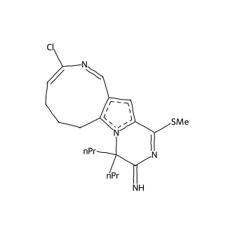 CCCC1(CCC)C(=N)N=C(SC)c2cc3c(n21)CCC/C=C(Cl)\N=C/3